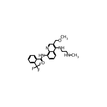 CNCCNc1c(COC)cnc2c(NC(=O)c3ccccc3C(F)(F)F)cccc12